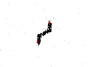 C/C(=N\c1ccc(/N=C(\C)c2cccc(/C(C)=N/c3ccc(F)cc3C)n2)cc1)c1cccc(/C(C)=N/c2ccc(F)cc2C)n1